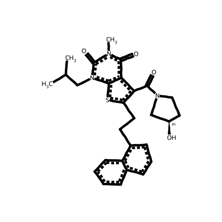 CC(C)Cn1c(=O)n(C)c(=O)c2c(C(=O)N3CC[C@@H](O)C3)c(CCc3cccc4ccccc34)sc21